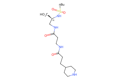 CCCCS(=O)(=O)N[C@@H](CNC(=O)CCNC(=O)CCC1CCNCC1)C(=O)O